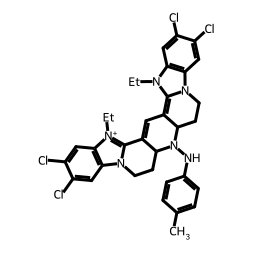 CCN1C2=C3C=C4c5n(c6cc(Cl)c(Cl)cc6[n+]5CC)CCC4N(Nc4ccc(C)cc4)C3CCN2c2cc(Cl)c(Cl)cc21